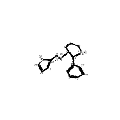 c1ccc(C2NCCCC2NCc2cccs2)cc1